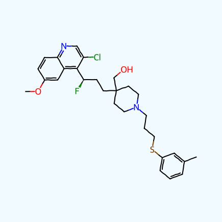 COc1ccc2ncc(Cl)c([C@H](F)CCC3(CO)CCN(CCCSc4cccc(C)c4)CC3)c2c1